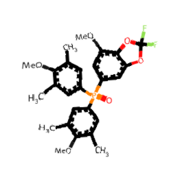 COc1cc(P(=O)(c2cc(C)c(OC)c(C)c2)c2cc(C)c(OC)c(C)c2)cc2c1OC(F)(F)O2